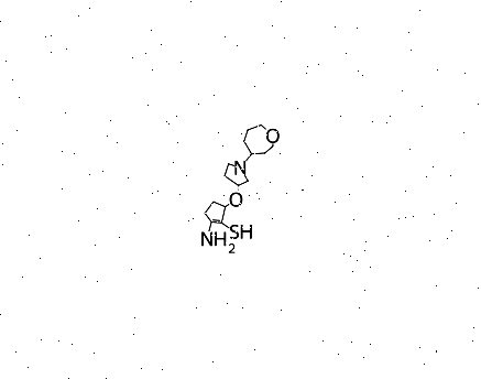 NC1=C(S)C(O[C@@H]2CCN(C3CCCOCC3)C2)CC1